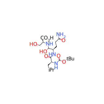 CC(C)C[C@H](NC(=O)OC(C)(C)C)C(=O)N[C@H](CCC(N)=O)C(O)N[C@@H](CO)C(=O)O